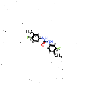 Cc1cc(NC(=O)Nc2ccc(C)c(F)c2)ccc1F